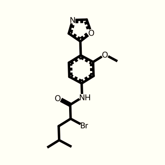 COc1cc(NC(=O)C(Br)CC(C)C)ccc1-c1cnco1